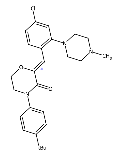 CN1CCN(c2cc(Cl)ccc2/C=C2\OCCN(c3ccc(C(C)(C)C)cc3)C2=O)CC1